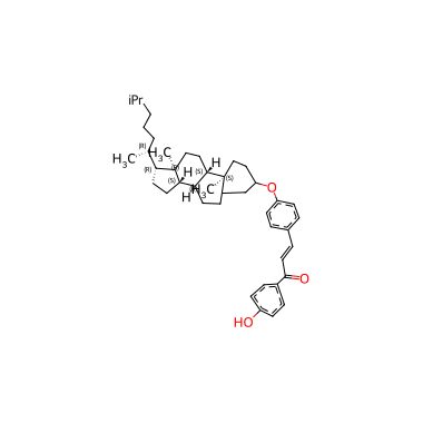 CC(C)CCC[C@@H](C)[C@H]1CC[C@H]2[C@@H]3CCC4CC(Oc5ccc(C=CC(=O)c6ccc(O)cc6)cc5)CC[C@]4(C)[C@H]3CC[C@]12C